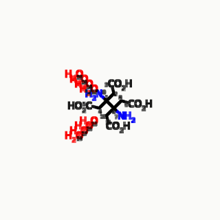 NC(CC(=O)O)(CC(=O)O)C(N)(CC(=O)O)CC(=O)O.O.O.O.O.O.O.O.O